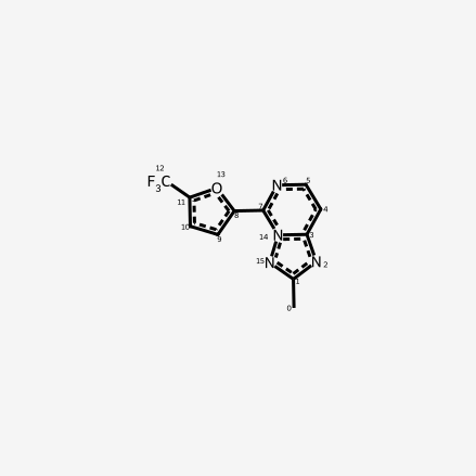 Cc1nc2ccnc(-c3ccc(C(F)(F)F)o3)n2n1